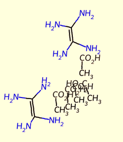 CC(=O)O.CC(=O)O.CC(=O)O.CC(=O)O.CC(=O)O.NC(N)=C(N)N.NC(N)=C(N)N